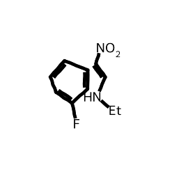 CCNC=C[N+](=O)[O-].Fc1ccccc1